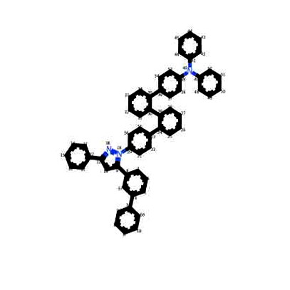 c1ccc(-c2cccc(-c3cc(-c4ccccc4)nn3-c3ccc(-c4ccccc4-c4ccccc4-c4ccc(N(c5ccccc5)c5ccccc5)cc4)cc3)c2)cc1